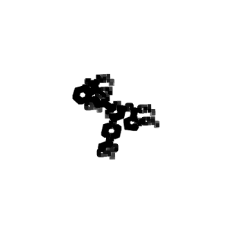 C=CC(=O)N1CCN(c2cc(O[C@@H](C)[C@@H]3CCCN3C)nc(-c3cc([C@@]4(C)CCCc5sc(N)c(C#N)c54)on3)n2)CC1